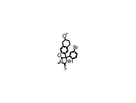 COC1CCc2cc(C3(c4cccc(Br)c4)NC(=S)N(C)C3=O)ccc2C1